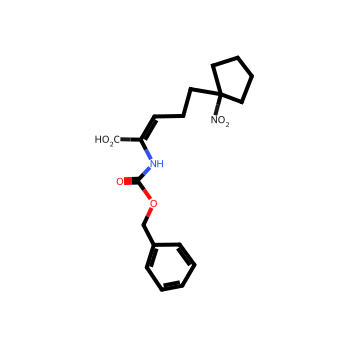 O=C(N/C(=C\CCC1([N+](=O)[O-])CCCC1)C(=O)O)OCc1ccccc1